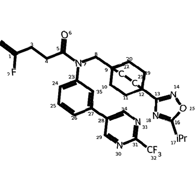 C=C(F)CCC(=O)N(CC12CCC(c3noc(C(C)C)n3)(CC1)CC2)c1cccc(-c2cnc(C(F)(F)F)nc2)c1